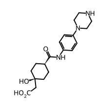 O=C(O)C[C@]1(O)CC[C@@H](C(=O)Nc2ccc(N3CCNCC3)cc2)CC1